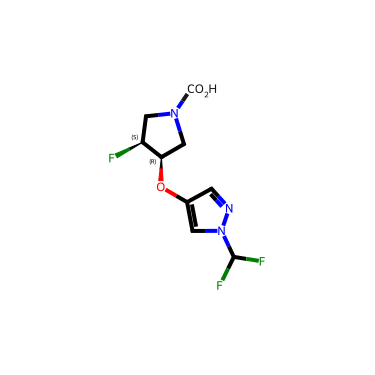 O=C(O)N1C[C@H](F)[C@H](Oc2cnn(C(F)F)c2)C1